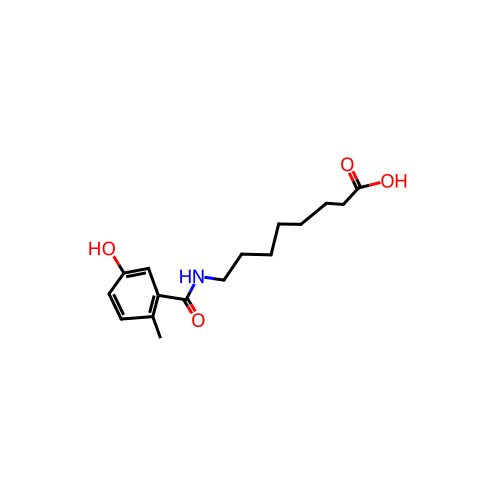 Cc1ccc(O)cc1C(=O)NCCCCCCCC(=O)O